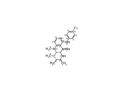 C=CC(=C)NCC(=N)c1c(N(C)CCC)ccnc1Nc1ccc(F)cc1